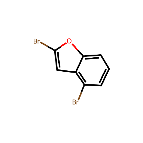 Brc1cc2c(Br)cccc2o1